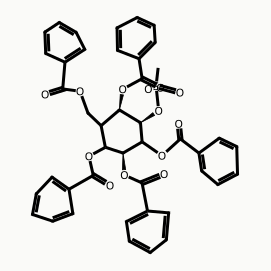 CS(=O)(=O)O[C@H]1C(OC(=O)c2ccccc2)[C@@H](OC(=O)c2ccccc2)C(OC(=O)c2ccccc2)C(COC(=O)c2ccccc2)[C@H]1OC(=O)c1ccccc1